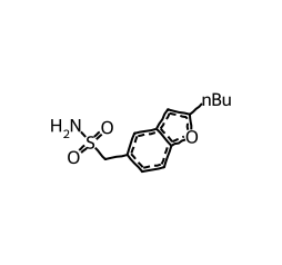 CCCCc1cc2cc(CS(N)(=O)=O)ccc2o1